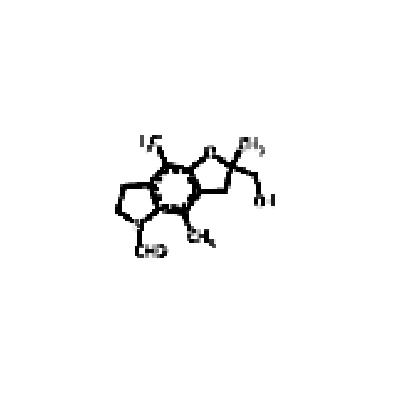 Cc1c2c(c(C)c3c1OC(C)(CO)C3)N(C=O)CC2